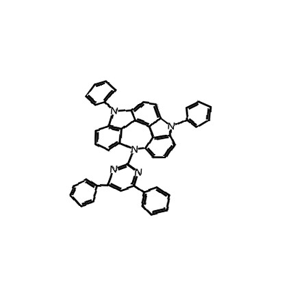 c1ccc(-c2cc(-c3ccccc3)nc(-n3c4cccc5c4c4c6c7c(cccc73)n(-c3ccccc3)c6ccc4n5-c3ccccc3)n2)cc1